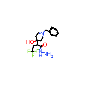 NNC(=O)C(CC(F)(F)F)C1(O)CCN(Cc2ccccc2)CC1